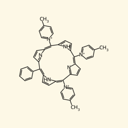 Cc1cc[n+](-c2c3nc(c(-[n+]4ccc(C)cc4)c4ccc([nH]4)c(-[n+]4ccc(C)cc4)c4nc(c(-c5ccccc5)c5ccc2[nH]5)C=C4)C=C3)cc1